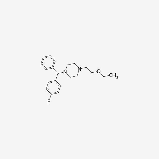 CCOCCN1CCN(C(c2ccccc2)c2ccc(F)cc2)CC1